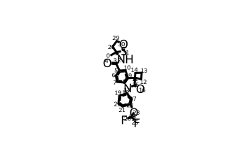 CC1(NC(=O)c2ccc3c(c2)C2(CCC2)C(=O)N3c2cccc(OC(F)F)c2)CCOS1